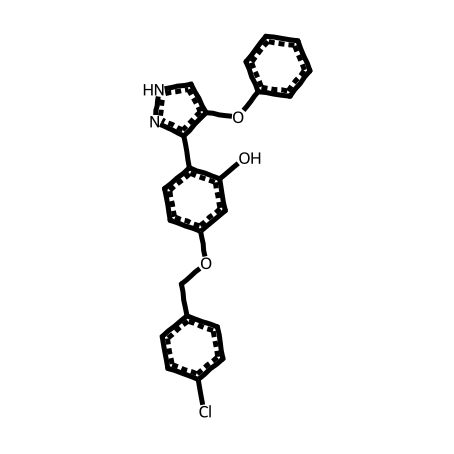 Oc1cc(OCc2ccc(Cl)cc2)ccc1-c1n[nH]cc1Oc1ccccc1